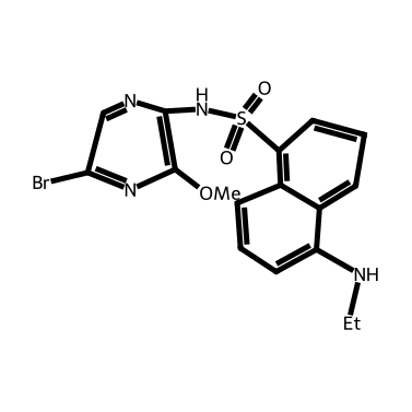 CCNc1cccc2c(S(=O)(=O)Nc3ncc(Br)nc3OC)cccc12